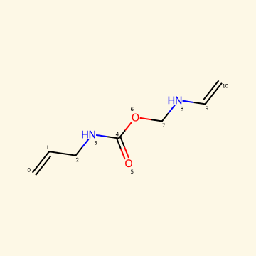 C=CCNC(=O)OCNC=C